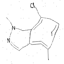 Cc1ccc(Cl)c2c1cnn2C